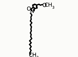 CCCCCCCCCCCCCCCCCCCCCCN1Cc2cc(CCCOC)ccc2C1=O